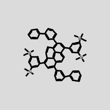 C[Si](C)(C)c1cc(-c2cc(-c3cccc(-c4ccccc4)c3)c3ccc4c(-c5cc([Si](C)(C)C)cc([Si](C)(C)C)c5)cc(-c5cccc(-c6ccccc6)c5)c5ccc2c3c54)cc([Si](C)(C)C)c1